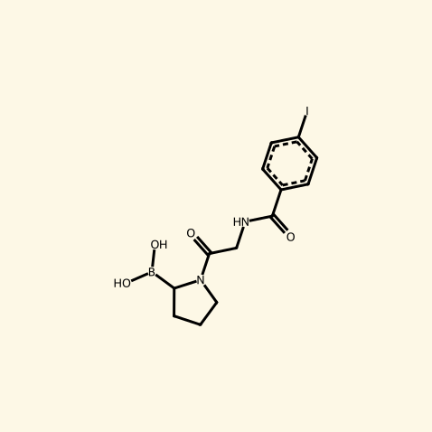 O=C(NCC(=O)N1CCCC1B(O)O)c1ccc(I)cc1